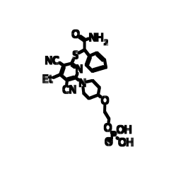 CCc1c(C#N)c(SC(C(N)=O)c2ccccc2)nc(N2CCC(OCCOP(=O)(O)O)CC2)c1C#N